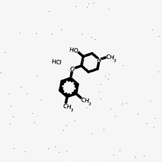 Cc1ccc(OC2CCN(C)CC2O)cc1C.Cl